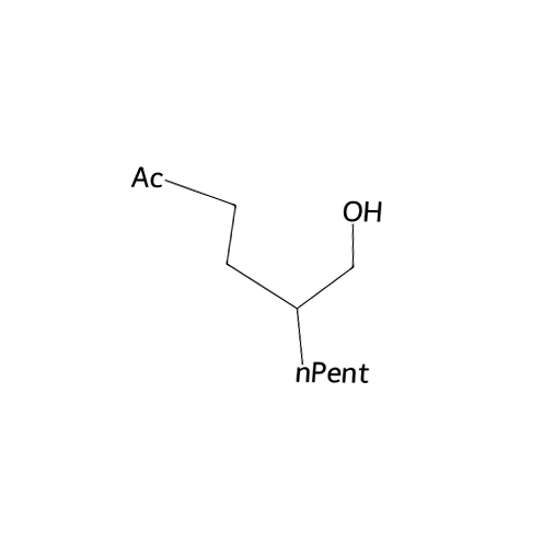 CCCCCC(CO)CCC(C)=O